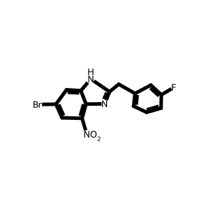 O=[N+]([O-])c1cc(Br)cc2[nH]c(Cc3cccc(F)c3)nc12